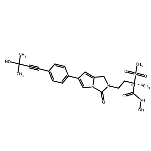 CC(C)(O)C#Cc1ccc(-c2cc3n(c2)C(=O)N(CC[C@](C)(C(=O)NO)S(C)(=O)=O)C3)cc1